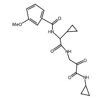 COc1cccc(C(=O)NC(C(=O)NCC(=O)C(=O)NC2CC2)C2CC2)c1